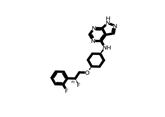 Fc1ccccc1[C@@H](F)CO[C@H]1CC[C@H](Nc2ncnc3[nH]ncc23)CC1